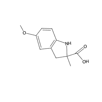 COc1ccc2c(c1)CC(C)(C(=O)O)N2